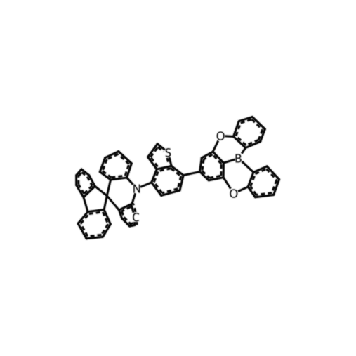 c1ccc2c(c1)Oc1cc(-c3ccc(N4c5ccccc5C5(c6ccccc6-c6ccccc65)c5ccccc54)c4ccsc34)cc3c1B2c1ccccc1O3